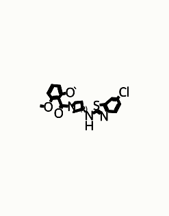 COc1cccc(OC)c1C(=O)N1CC[C@@H](Nc2nc3ccc(Cl)cc3s2)C1